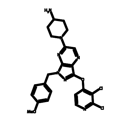 COc1ccc(Cn2nc(Oc3ccnc(Cl)c3Cl)c3ncc(N4CCC(N)CC4)nc32)cc1